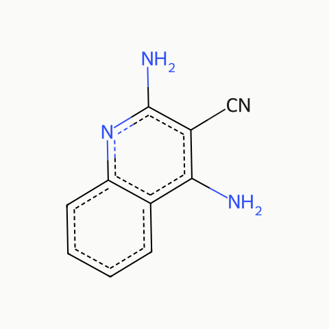 N#Cc1c(N)nc2ccccc2c1N